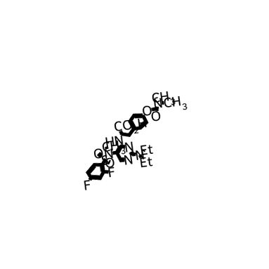 CCN(CC)c1ncc(N(C)S(=O)(=O)c2ccc(F)cc2F)c(NC(Cc2ccc(OC(=O)N(C)C)cc2)C(=O)O)n1